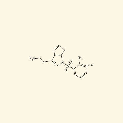 Cc1c(Cl)cccc1S(=O)(=O)n1cc(CCN)c2ccsc21